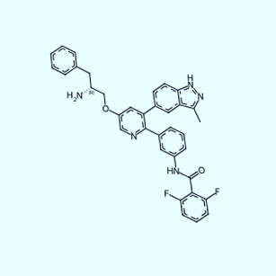 Cc1n[nH]c2ccc(-c3cc(OC[C@H](N)Cc4ccccc4)cnc3-c3cccc(NC(=O)c4c(F)cccc4F)c3)cc12